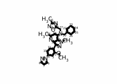 COc1cc(-n2cccn2)ccc1-c1nn(C)c2c(N(Cc3ccccc3)Cc3nc(C)no3)cc(C)nc12